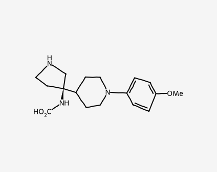 COc1ccc(N2CCC([C@]3(NC(=O)O)CCNC3)CC2)cc1